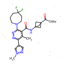 COC(=O)C12CC(NC(=O)c3c(N4CCCC(F)(F)CC4)nnc(-c4cnn(C)c4)c3C)(C1)C2